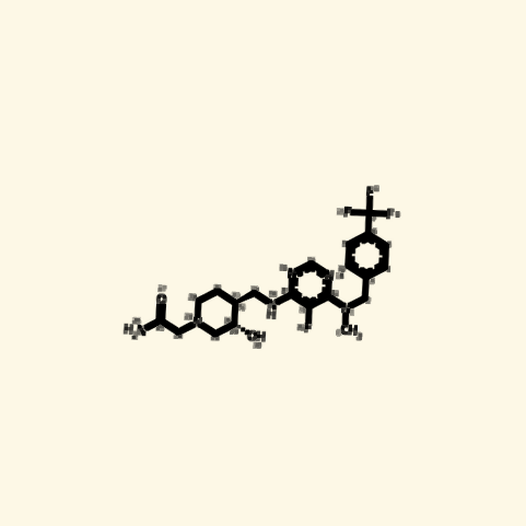 CN(Cc1ccc(C(F)(F)F)cc1)c1ncnc(NC[C@@H]2CCN(CC(N)=O)C[C@H]2O)c1F